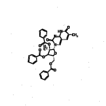 Cc1cc2cn([C@@H]3O[C@H](COC(=O)c4ccccc4)C(OC(=O)c4ccccc4)[C@@]3(C)OC(=O)c3ccccc3)c(=O)nc2[nH]c1=O